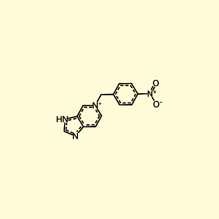 O=[N+]([O-])c1ccc(C[n+]2ccc3nc[nH]c3c2)cc1